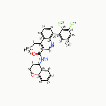 CCc1c(C(=O)NC2CCOc3ccccc32)cnc2c(-c3cc(F)cc(F)c3F)cccc12